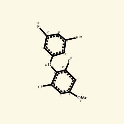 COc1cc(F)c(Oc2cc(F)cc(F)c2)c(F)c1